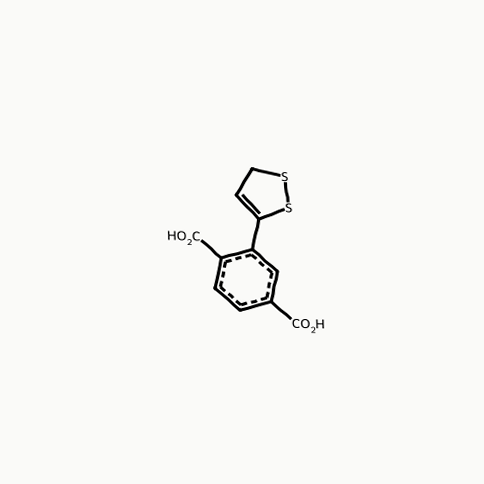 O=C(O)c1ccc(C(=O)O)c(C2=CCSS2)c1